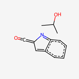 CC(C)O.O=C=C1C=c2ccccc2=N1